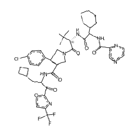 CC(C)(C)[C@H](NC(=O)C(NC(=O)c1cnccn1)C1CCCCC1)C(=O)N1CC(C(=O)NC(CC2CCC2)C(=O)c2nc(C(F)(F)F)co2)C(c2ccc(Cl)cc2)C1